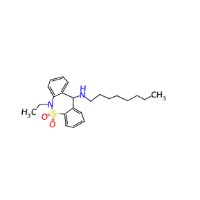 CCCCCCCCNC1c2ccccc2N(CC)S(=O)(=O)c2ccccc21